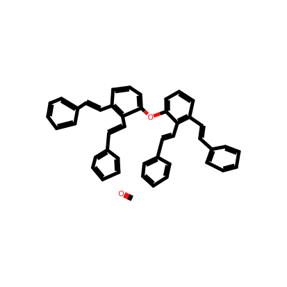 C(=Cc1cccc(Oc2cccc(C=Cc3ccccc3)c2C=Cc2ccccc2)c1C=Cc1ccccc1)c1ccccc1.C=O